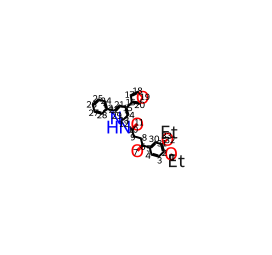 CCOc1ccc(C(=O)CCC(=O)Nc2cc(-c3ccoc3)cc(-c3ccccc3)n2)cc1OCC